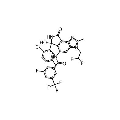 Cc1nc2c3c(c(NC(=O)c4cc(F)cc(C(F)(F)F)c4)cc2n1CC(F)F)C(O)(c1cc(F)ccc1Cl)NC3=O